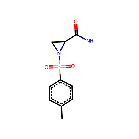 Cc1ccc(S(=O)(=O)N2CC2C([NH])=O)cc1